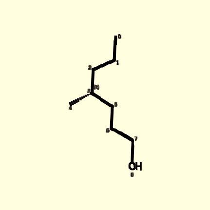 CCC[C@@H](C)CCCO